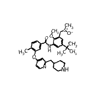 COc1c(C[S+](C)[O-])cc(C(C)(C)C)cc1NC(=O)c1ccc(C)c(Oc2ccnc(CC3CCNCC3)c2)c1